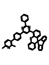 Cc1ccc(-c2ccc(-c3cc(-c4cccc5c4Sc4ccccc4C54c5ccccc5-c5ccccc54)nc(-c4ccccc4)n3)cc2)c(C)n1